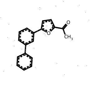 CC(=O)c1ccc(-c2cccc(-c3ccccc3)c2)o1